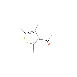 Cc1sc(C)c(C(=O)C(C)C)c1C